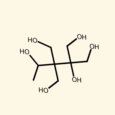 CC(O)C(CO)(CO)C(O)(CO)CO